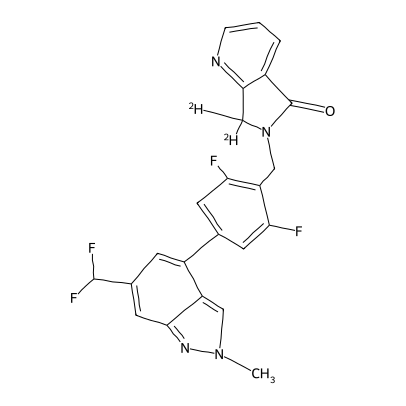 [2H]C1([2H])c2ncccc2C(=O)N1Cc1c(F)cc(-c2cc(C(F)F)cc3nn(C)cc23)cc1F